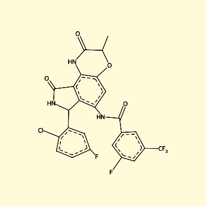 CC1Oc2cc(NC(=O)c3cc(F)cc(C(F)(F)F)c3)c3c(c2NC1=O)C(=O)NC3c1cc(F)ccc1Cl